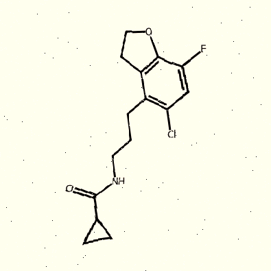 O=C(NCCCc1c(Cl)cc(F)c2c1CCO2)C1CC1